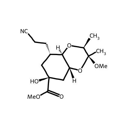 COC(=O)[C@]1(O)C[C@H](CCC#N)[C@H]2O[C@@H](C)[C@@](C)(OC)O[C@@H]2C1